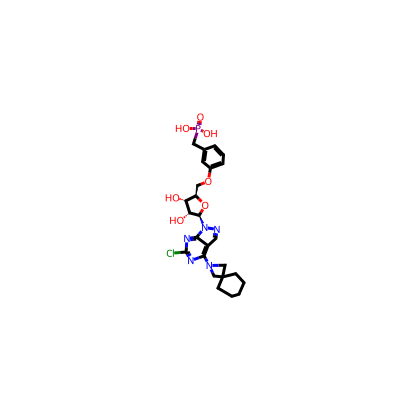 O=P(O)(O)Cc1cccc(OC[C@H]2O[C@@H](n3ncc4c(N5CC6(CCCCC6)C5)nc(Cl)nc43)[C@H](O)[C@@H]2O)c1